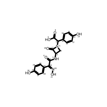 O=C(NC1CN(C(C(=O)O)c2ccc(O)cc2)C1=O)C(=NO)c1ccc(O)cc1